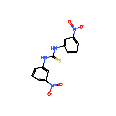 O=[N+]([O-])c1cccc(NC(=S)Nc2cccc([N+](=O)[O-])c2)c1